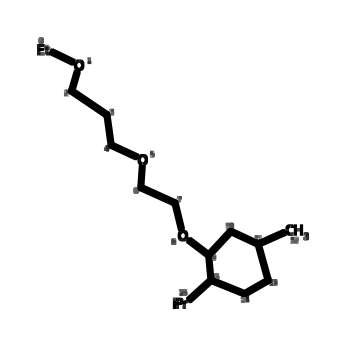 CCOCCCOCCOC1CC(C)CCC1C(C)C